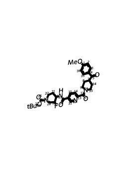 COc1ccc(C(=O)C2CCN(C(=O)c3ccc(C(=O)NC4CCN(C(=O)OC(C)(C)C)CC4F)cn3)CC2)cc1